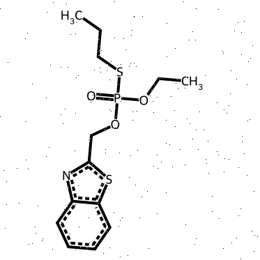 CCCSP(=O)(OCC)OCc1nc2ccccc2s1